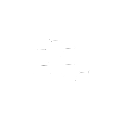 COC(=O)N1C(C)=NC(C)=C(C(=O)O)C1c1ccc(F)c(F)c1